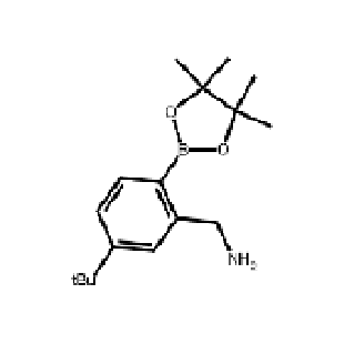 CC(C)(C)c1ccc(B2OC(C)(C)C(C)(C)O2)c(CN)c1